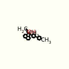 C=CCC1(O)c2cccc3cccc(c23)C1(C)c1ccc(-c2ccc(C)cc2)cc1